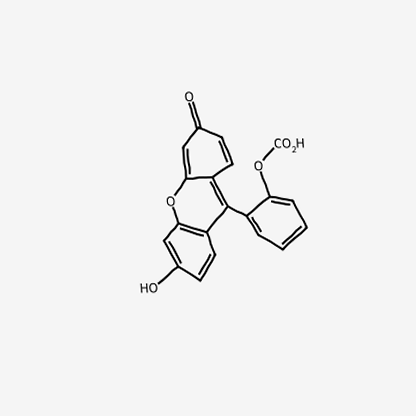 O=C(O)Oc1ccccc1-c1c2ccc(=O)cc-2oc2cc(O)ccc12